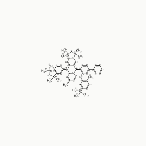 Cc1cc2c3c(c1)N(c1cc(C(C)(C)C)ccc1C)c1cc(-c4ccccc4)ccc1C3c1cc3c(cc1N2c1ccc2c(c1)C(C)(C)CC2(C)C)C(C)(C)CC3(C)C